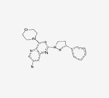 Brc1cnc2c(N3CCOCC3)nc(N3CCC(c4ccccc4)=N3)nc2c1